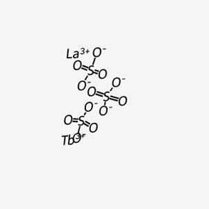 O=S(=O)([O-])[O-].O=S(=O)([O-])[O-].O=S(=O)([O-])[O-].[La+3].[Tb+3]